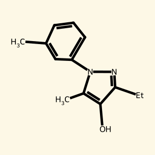 CCc1nn(-c2cccc(C)c2)c(C)c1O